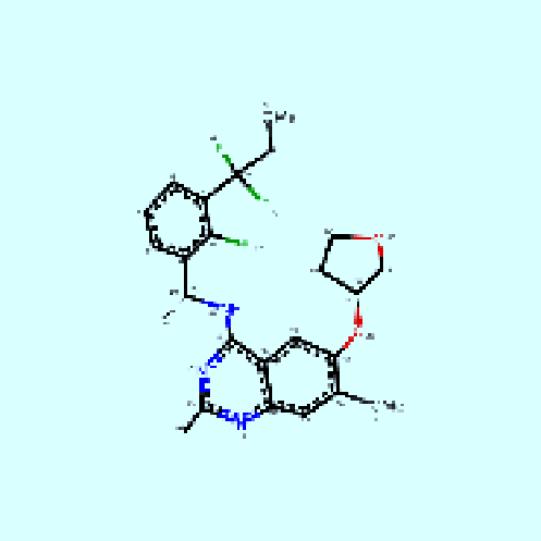 COCC(F)(F)c1cccc([C@@H](C)Nc2nc(C)nc3cc(OC)c(O[C@H]4CCOC4)cc23)c1F